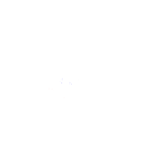 O=CN(NO)c1cccc2ccccc12